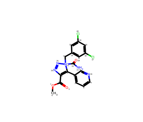 COC(=O)C1=C(c2cccnc2)[N+](Cc2cc(Cl)cc(Cl)c2)(C(N)=O)N=N1